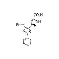 O=C(O)c1cc(-c2sc(-c3ccccc3)nc2CBr)n[nH]1